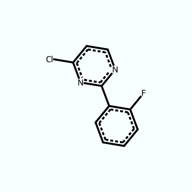 Fc1ccccc1-c1nccc(Cl)n1